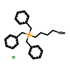 CCCCCCCCCCCCCC[P+](Cc1ccccc1)(Cc1ccccc1)Cc1ccccc1.[Cl-]